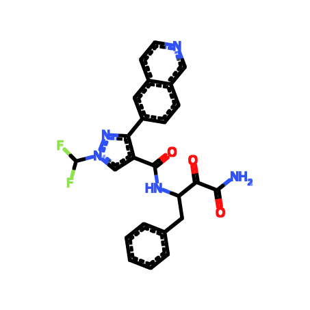 NC(=O)C(=O)C(Cc1ccccc1)NC(=O)c1cn(C(F)F)nc1-c1ccc2cnccc2c1